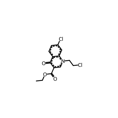 CCOC(=O)c1cn(CCCl)c2cc(Cl)ccc2c1=O